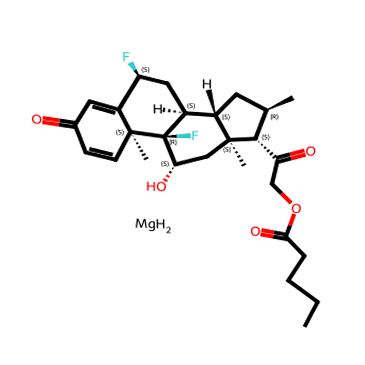 CCCCC(=O)OCC(=O)[C@H]1[C@H](C)C[C@H]2[C@@H]3C[C@H](F)C4=CC(=O)C=C[C@]4(C)[C@@]3(F)[C@@H](O)C[C@@]21C.[MgH2]